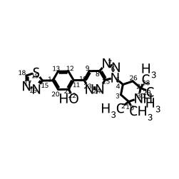 CC1(C)CC(n2nnc3cc(-c4ccc(-c5nncs5)cc4O)nnc32)CC(C)(C)N1